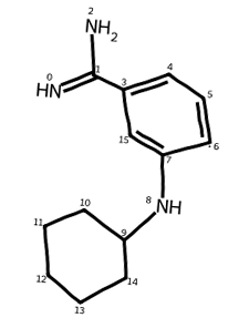 N=C(N)c1cc[c]c(NC2CCCCC2)c1